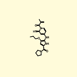 C=C(C)C(=O)n1ccc(Nc2[nH]c(C(=O)N3CCCC3)cc2OCCC)cc1=N